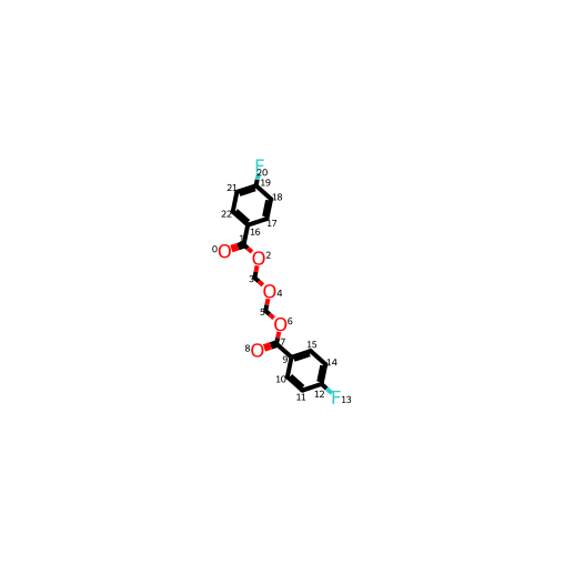 O=C(OCOCOC(=O)c1ccc(F)cc1)c1ccc(F)cc1